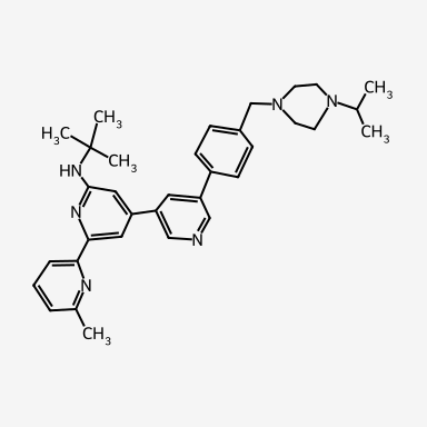 Cc1cccc(-c2cc(-c3cncc(-c4ccc(CN5CCN(C(C)C)CC5)cc4)c3)cc(NC(C)(C)C)n2)n1